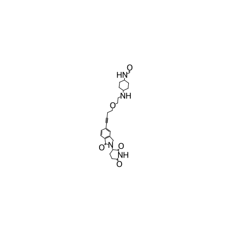 O=CNC1CCC(NCCOCCC#Cc2ccc3c(c2)CN(C2CCC(=O)NC2=O)C3=O)CC1